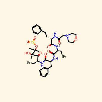 CC(C)C[C@H](NC(=O)[C@H](CCc1ccccc1)NC(=O)CN1CCOCC1)C(=O)N[C@@H](Cc1ccccc1)C(=O)N[C@@H](CC(C)C)C(=O)[C@](C)(O)C(C)(C)O[SH](=O)=O